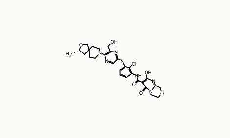 C[C@H]1CC2(CCN(c3ncc(Sc4cccc(NC(=O)c5c(O)nc6n(c5=O)CCOC6)c4Cl)nc3CO)CC2)CO1